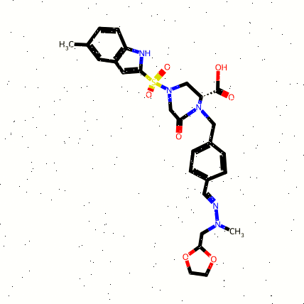 Cc1ccc2[nH]c(S(=O)(=O)N3CC(=O)N(Cc4ccc(C=NN(C)CC5OCCO5)cc4)[C@@H](C(=O)O)C3)cc2c1